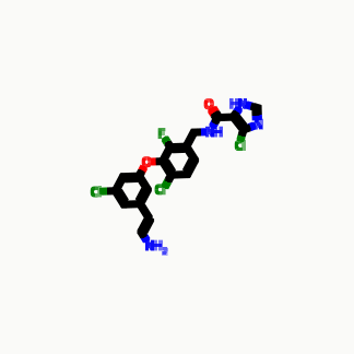 N/C=C/c1cc(Cl)cc(Oc2c(Cl)ccc(CNC(=O)c3[nH]cnc3Cl)c2F)c1